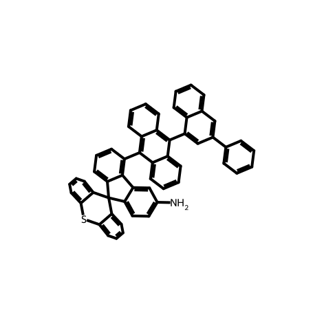 Nc1ccc2c(c1)-c1c(-c3c4ccccc4c(-c4cc(-c5ccccc5)cc5ccccc45)c4ccccc34)cccc1C21c2ccccc2Sc2ccccc21